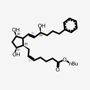 CCCCOC(=O)CCC/C=C\C[C@@H]1C(/C=C/[C@@H](O)CCCc2ccccc2)[C@H](O)C[C@@H]1O